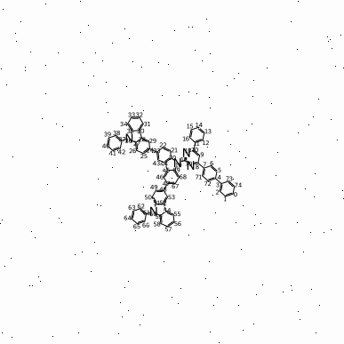 c1ccc(-c2ccc(-c3cc(-c4ccccc4)nc(-n4c5ccc(-c6ccc7c(c6)c6ccccc6n7-c6ccccc6)cc5c5cc(-c6ccc7c(c6)c6ccccc6n7-c6ccccc6)ccc54)n3)cc2)cc1